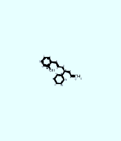 C=CCC(CC=Cc1ccccc1O)C1CCCCC1